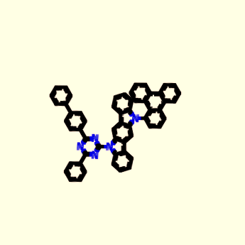 c1ccc(-c2ccc(-c3nc(-c4ccccc4)nc(-n4c5ccccc5c5cc6c(cc54)c4ccccc4n6-c4cccc5c6ccccc6c6ccccc6c45)n3)cc2)cc1